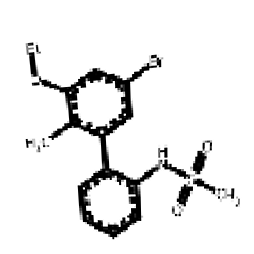 CCOc1cc(Br)cc(-c2ccccc2NS(C)(=O)=O)c1C